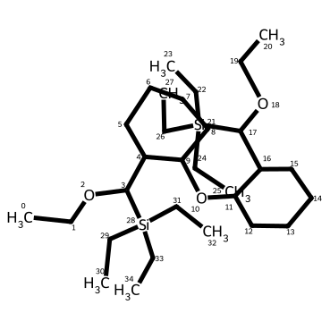 CCOC(C1CCCCC1OC1CCCCC1C(OCC)[Si](CC)(CC)CC)[Si](CC)(CC)CC